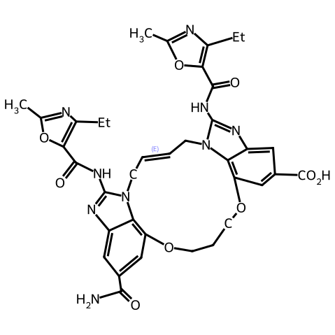 CCc1nc(C)oc1C(=O)Nc1nc2cc(C(N)=O)cc3c2n1C/C=C/Cn1c(NC(=O)c2oc(C)nc2CC)nc2cc(C(=O)O)cc(c21)OCCCO3